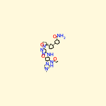 C=CC(=O)Nc1cc(Nc2cc(N3OCC[C@@H]3c3cccc(-c4cccc(C(N)=O)c4)c3)ncn2)c(OC)cc1N1CCN(C)CC1